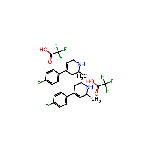 CC1C=C(c2ccc(F)cc2)CCN1.CC1CC(c2ccc(F)cc2)=CCN1.O=C(O)C(F)(F)F.O=C(O)C(F)(F)F